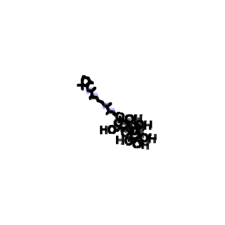 CC1=C(/C=C(C)/C(C)=C/CC/C=C(C)/C(C)=C/COC2O[C@H](CO)[C@@H](OC3O[C@H](CO)[C@@H](O)[C@H](O)[C@H]3O)[C@H](O)[C@H]2O)C(C)(C)CCC1